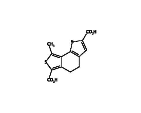 Cc1sc(C(=O)O)c2c1-c1sc(C(=O)O)cc1CC2